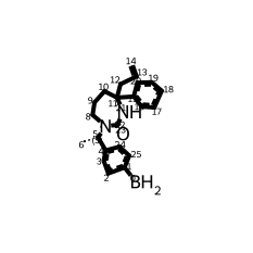 Bc1ccc([C@H](C)N2CCCC(CC=C)(c3ccccc3)NC2=O)cc1